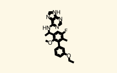 CCOc1cccc(-c2c(C)c(F)cc(C(C)Nc3ncnc4[nH]cnc34)c2OC)c1